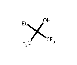 [CH2]CC(O)(C(F)(F)F)C(F)(F)F